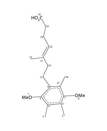 COc1c(C)c(C)c(OC)c(CC/C(C)=C/CCC(=O)O)c1C